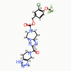 O=C(OCc1ccc(OC(F)(F)F)c(Cl)c1)N1CCc2nc(C(=O)N3CCc4[nH]nnc4C3)nn2CC1